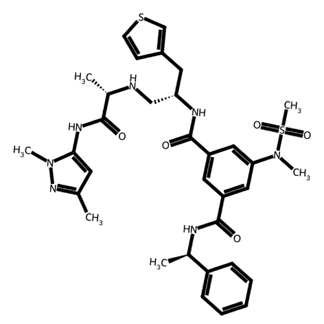 Cc1cc(NC(=O)[C@H](C)NC[C@H](Cc2ccsc2)NC(=O)c2cc(C(=O)N[C@H](C)c3ccccc3)cc(N(C)S(C)(=O)=O)c2)n(C)n1